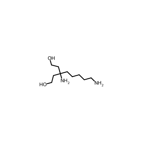 NCCCCCC(N)(CCO)CCO